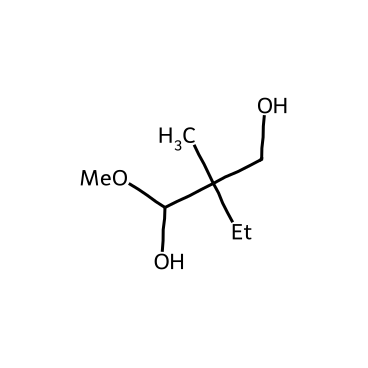 CCC(C)(CO)C(O)OC